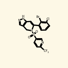 O=S(=O)(c1ccc(C(F)(F)F)nc1)N1Cc2cn[nH]c2C=C1c1cccc(Cl)c1Br